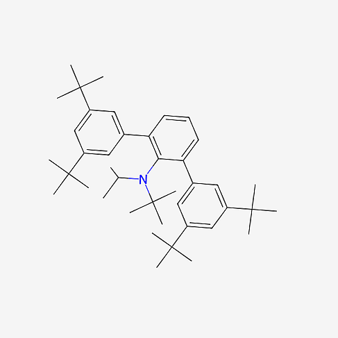 CC(C)N(c1c(-c2cc(C(C)(C)C)cc(C(C)(C)C)c2)cccc1-c1cc(C(C)(C)C)cc(C(C)(C)C)c1)C(C)(C)C